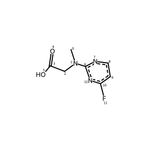 CN(CC(=O)O)c1nccc(F)n1